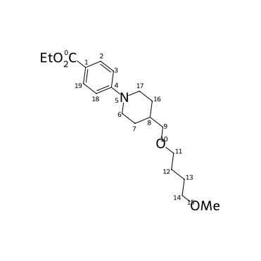 CCOC(=O)c1ccc(N2CCC(COCCCCOC)CC2)cc1